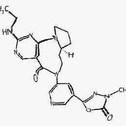 CCNc1ncc2c(n1)N1CCC[C@H]1CN(c1cncc(-c3nn(C)c(=O)o3)c1)C2=O